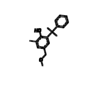 COCc1cc(C)c(O)c(C(C)(C)c2ccccc2)c1